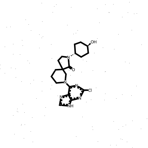 O=C1N([C@H]2CC[C@H](O)CC2)CCC12CCCN(c1nc(Cl)nc3[nH]cnc13)C2